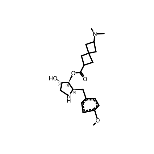 COc1ccc(C[C@H]2NC[C@H](O)[C@H]2OC(=O)C2CC3(C2)CC(N(C)C)C3)cc1